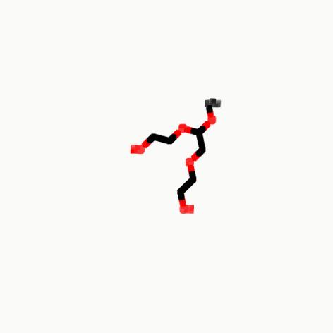 CCCCOC(COCCO)OCCO